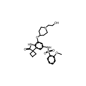 COc1ccccc1S(=O)(=O)Nc1cc(OC2CCN(CCO)CC2)c2c(c1)C1(CCC1)C(=O)N2